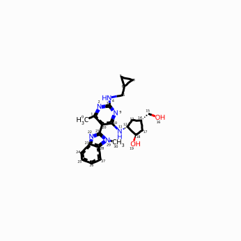 Cc1nc(NCC2CC2)nc(N[C@@H]2C[C@H](CO)C[C@H]2O)c1-c1nc2ccccc2n1C